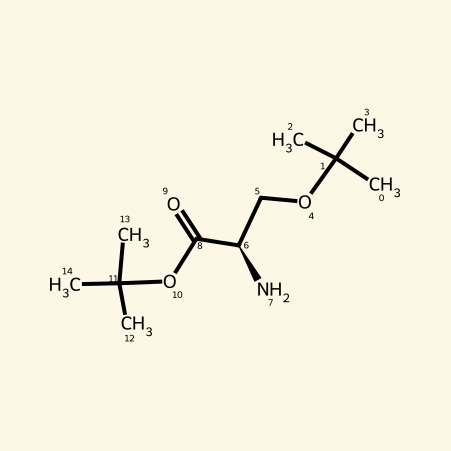 CC(C)(C)OC[C@@H](N)C(=O)OC(C)(C)C